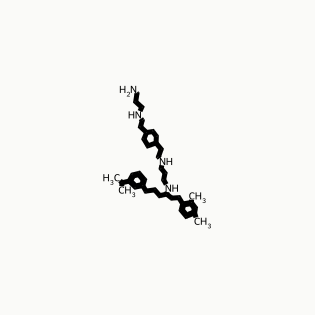 Cc1ccc(CCC(CCCc2cccc(C(C)C)c2)NCCCNCCC2CCC(CCNCCCN)CC2)c(C)c1